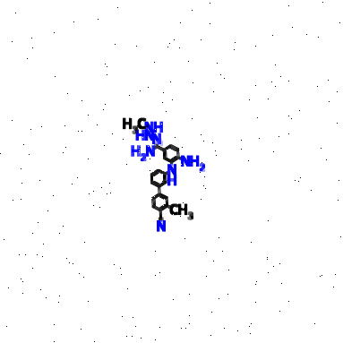 CNN/N=C(\N)c1ccc(N)c(Nc2cccc(-c3ccc(C#N)c(C)c3)c2)c1